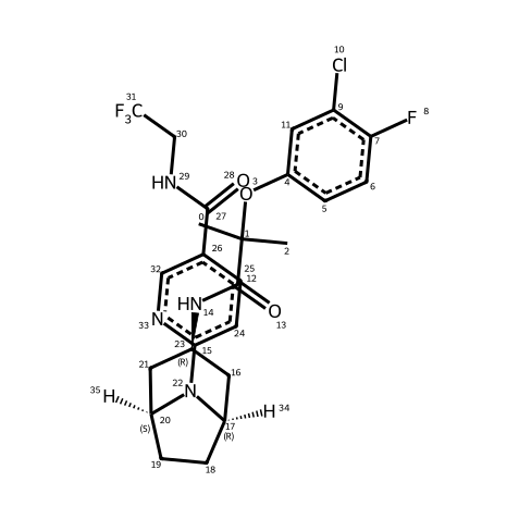 CC(C)(Oc1ccc(F)c(Cl)c1)C(=O)N[C@H]1C[C@H]2CC[C@@H](C1)N2c1ccc(C(=O)NCC(F)(F)F)cn1